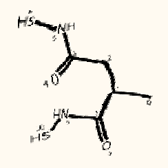 CC(CC(=O)NS)C(=O)NS